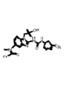 CC(C)C(=O)N(C)c1ccc2c(c1)nc(NC(=O)Nc1cccc(C#N)c1)n2CC(C)(C)O